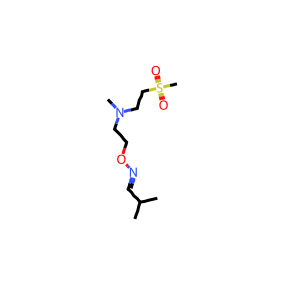 CC(C)/C=N/OCCN(C)CCS(C)(=O)=O